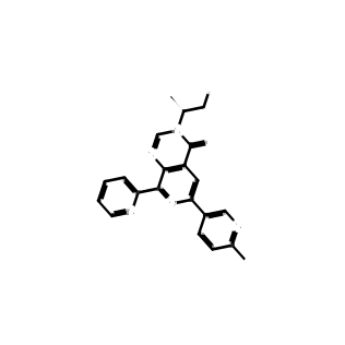 Cc1ccc(-c2cc3c(=O)n([C@@H](C)CO)cnc3c(-c3ccccn3)n2)cn1